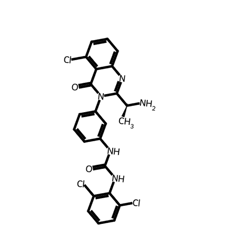 C[C@H](N)c1nc2cccc(Cl)c2c(=O)n1-c1cccc(NC(=O)Nc2c(Cl)cccc2Cl)c1